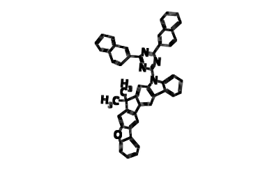 CC1(C)c2cc3oc4ccccc4c3cc2-c2cc3c4ccccc4n(-c4nc(-c5ccc6ccccc6c5)nc(-c5ccc6ccccc6c5)n4)c3cc21